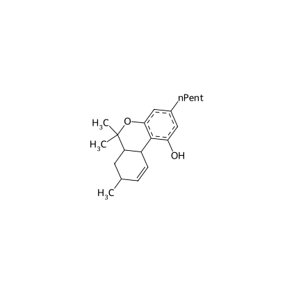 CCCCCc1cc(O)c2c(c1)OC(C)(C)C1CC(C)C=CC21